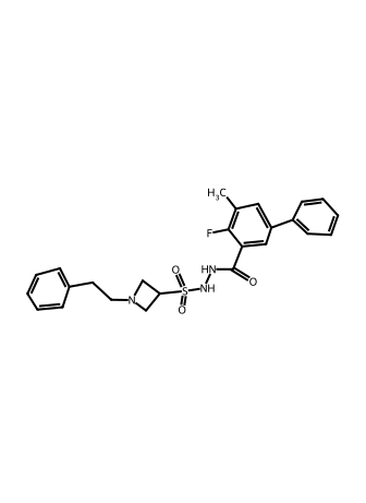 Cc1cc(-c2ccccc2)cc(C(=O)NNS(=O)(=O)C2CN(CCc3ccccc3)C2)c1F